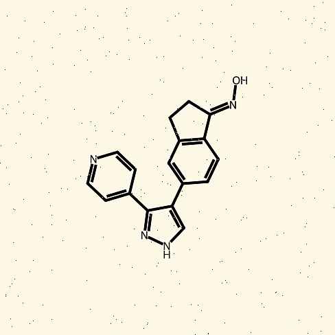 O/N=C1\CCc2cc(-c3c[nH]nc3-c3ccncc3)ccc21